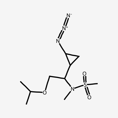 CC(C)OCC(C1CC1N=[N+]=[N-])N(C)S(C)(=O)=O